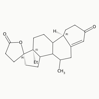 CC[C@]12CCC3C(C(C)CC4=CC(=O)CC[C@@H]43)C1CC[C@@]21CCC(=O)O1